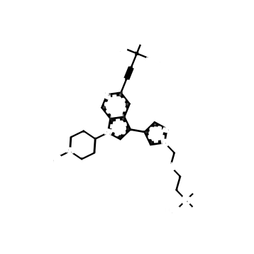 CN1CCC(n2cc(-c3cnn(COCC[Si](C)(C)C)c3)c3cc(C#CC(C)(C)O)ncc32)CC1